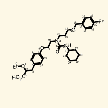 CCOC(Cc1ccc(OCCN(CCCOCc2ccc(F)cc2)C(=O)NC2CCCCC2)cc1)C(=O)O